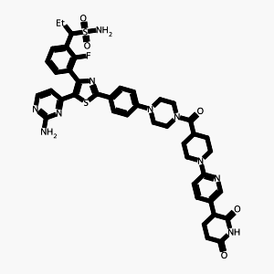 CCC(c1cccc(-c2nc(-c3ccc(N4CCN(C(=O)C5CCN(c6ccc(C7CCC(=O)NC7=O)cn6)CC5)CC4)cc3)sc2-c2ccnc(N)n2)c1F)S(N)(=O)=O